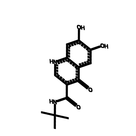 CC(C)(C)NC(=O)c1c[nH]c2cc(O)c(O)cc2c1=O